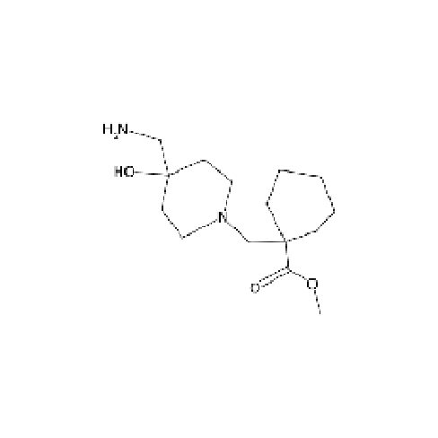 COC(=O)C1(CN2CCC(O)(CN)CC2)CCCCC1